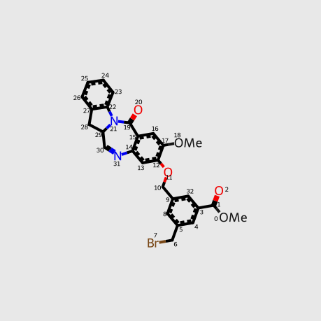 COC(=O)c1cc(CBr)cc(COc2cc3c(cc2OC)C(=O)N2c4ccccc4CC2C=N3)c1